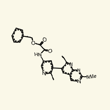 CNc1ncc2cc(-c3cc(NC(=O)C(=O)OCc4ccccc4)cnc3C)c(C)nc2n1